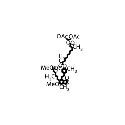 COC(=O)CC/C(C)=C/Cc1c(CCc2cc(C)c(OC(=O)C(C)CCCCCCCC(C)CC(=O)OC(COC(C)=O)COC(C)=O)c(C)c2)c2c(c(C)c1OC)COC2=O